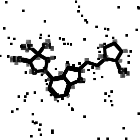 C=C1OB(c2cccc3oc(CCN4CCC[C@H]4C)cc23)OC1(C)C